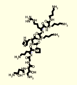 N=C(N)NCCC/C(=N\C(=O)[C@H](CCCCN)NC(=O)[C@H](Cc1cnc[nH]1)NC(=O)[C@@H]1CCCN1C(=O)/C(CCCN)=N/C(=O)CNC(=O)[C@@H](NC(=O)C[C@@H](O)CN)[C@@H](O)CN)C(=O)N[C@@H](CCCCN)C(=O)NCCCCN